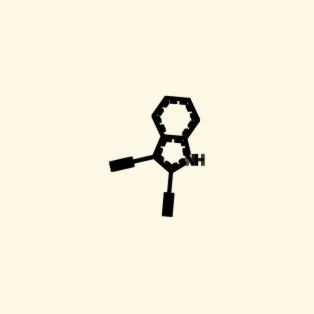 C#Cc1[nH]c2ccccc2c1C#C